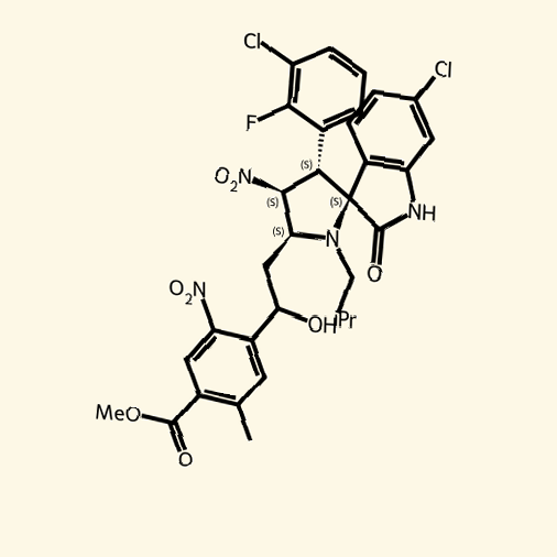 COC(=O)c1cc([N+](=O)[O-])c(C(O)C[C@H]2[C@@H]([N+](=O)[O-])[C@H](c3cccc(Cl)c3F)[C@]3(C(=O)Nc4cc(Cl)ccc43)N2CC(C)C)cc1C